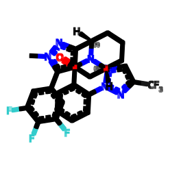 Cn1nc2c(c1-c1cc(F)c(F)c(F)c1)C[C@H]1CCC[C@@H]2N1C(=O)c1ccccc1-n1ncc(C(F)(F)F)n1